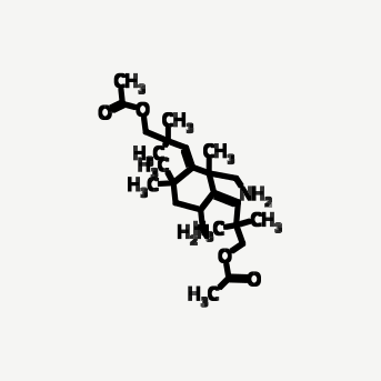 CC(=O)OCC(C)(C)C=C1C(N)CC(C)(C)C(=CC(C)(C)COC(C)=O)C1(C)CN